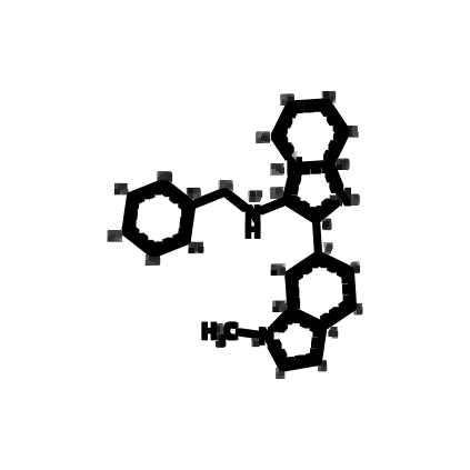 Cn1ccc2ccc(-c3nc4ccccn4c3NCc3ccccc3)cc21